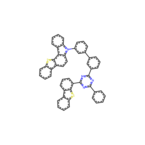 c1ccc(-c2nc(-c3cccc(-c4cccc(-n5c6ccccc6c6c7sc8ccccc8c7ccc65)c4)c3)nc(-c3cccc4c3sc3ccccc34)n2)cc1